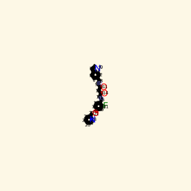 Cn1ccc2ccc(/C=C/C(=O)CC(=O)/C=C/c3ccc(OCc4ccccn4)cc3F)cc21